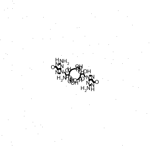 Nc1nc2c(ncn2[C@@H]2O[C@@H]3CCP(=O)(O)O[C@H]4[C@@H](O)[C@H](n5cnc6c(=O)[nH]c(N)nc65)O[C@@H]4COP(=O)(O)O[C@H]3[C@H]2N)c(=O)[nH]1